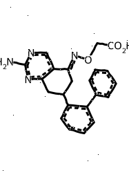 Nc1ncc2c(n1)CC(c1ccccc1-c1ccccc1)CC2=NOCC(=O)O